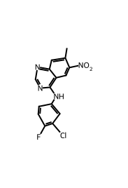 Cc1cc2ncnc(Nc3ccc(F)c(Cl)c3)c2cc1[N+](=O)[O-]